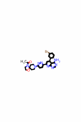 CC(=O)N1CCOC12CCN(c1ccc(-c3cc(-c4cccc(Br)c4)c4c(N)ncnc4n3)nn1)CC2